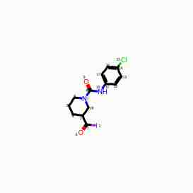 O=C(I)C1CCCN(C(=O)Nc2ccc(Cl)cc2)C1